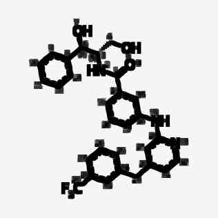 O=C(N[C@@H](CO)[C@H](O)c1ccccc1)c1cccc(Nc2cc(Cc3cccc(C(F)(F)F)c3)ccn2)c1